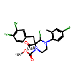 CNC(=O)C1(Cc2ccc(Br)c(Br)c2)C(F)N(c2ccc(F)cc2C)CCN1C(=O)OC(C)(C)C